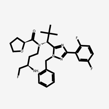 CC(C)(C)[C@H](c1nc(-c2cc(F)ccc2F)nn1Cc1ccccc1)N(CC[C@@H](N)CF)C(=O)[C@@H]1CCCO1